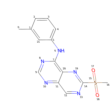 Cc1cccc(Nc2ncnc3cnc(S(C)(=O)=O)nc23)c1